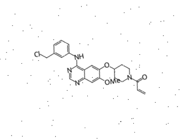 C=CC(=O)N1CCC(Oc2cc3c(Nc4cccc(CCl)c4)ncnc3cc2OC)CC1